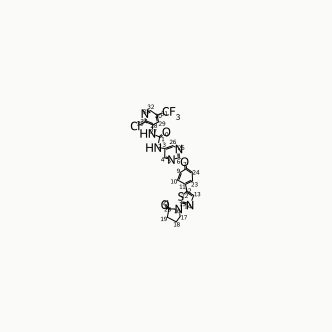 O=C(Nc1cnc(Oc2ccc(-c3cnc(N4CCCC4=O)s3)cc2)nc1)Nc1cc(C(F)(F)F)cnc1Cl